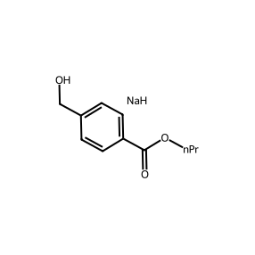 CCCOC(=O)c1ccc(CO)cc1.[NaH]